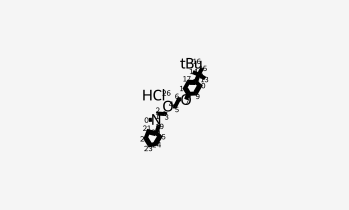 CN(CCOCCOc1ccc(C(C)(C)CC(C)(C)C)cc1)Cc1ccccc1.Cl